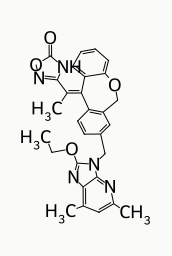 CCOc1nc2c(C)cc(C)nc2n1Cc1ccc2c(c1)COc1ccccc1/C2=C(/C)c1noc(=O)[nH]1